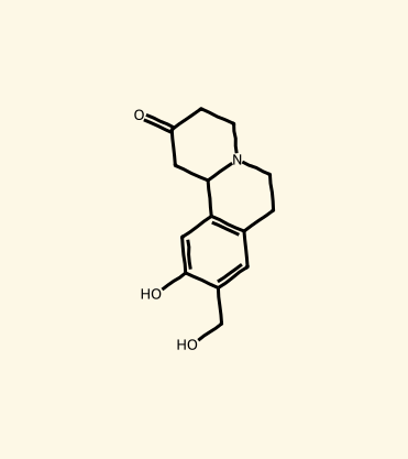 O=C1CCN2CCc3cc(CO)c(O)cc3C2C1